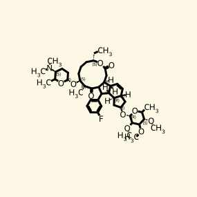 CC[C@H]1CCC[C@H](O[C@H]2CC[C@H](N(C)C)C(C)O2)[C@@H](C)C(=O)C2C(c3cccc(F)c3)[C@@H]3[C@@H](C=C[C@@H]4C[C@@H](O[C@@H]5OC(C)[C@H](OC)C(OC)C5OC)C[C@@H]34)[C@@H]2CC(=O)O1